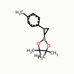 Cc1ccc(C2CC2B2OC(C)(C)C(C)(C)O2)cc1